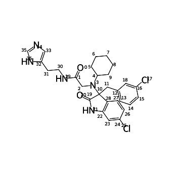 O=C(CN(C1CCCCC1)C1(Cc2cccc(Cl)c2)C(=O)Nc2cc(Cl)ccc21)NCCc1cnc[nH]1